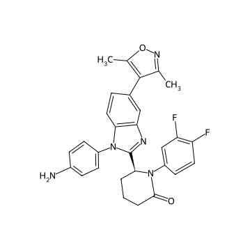 Cc1noc(C)c1-c1ccc2c(c1)nc([C@@H]1CCCC(=O)N1c1ccc(F)c(F)c1)n2-c1ccc(N)cc1